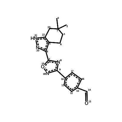 CC1(C)CCc2c(-c3nc(-c4ccc(C=O)cc4)no3)n[nH]c2C1